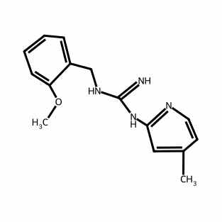 COc1ccccc1CNC(=N)Nc1cc(C)ccn1